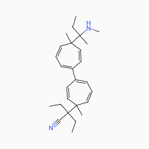 CCC(C#N)(CC)C1(C)C=CC=C(C2=CC=CC(C)(C(C)(CC)NC)C=C2)C=C1